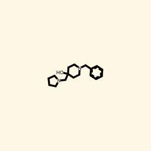 OC1(CN2CCCC2)CCN(Cc2ccccc2)CC1